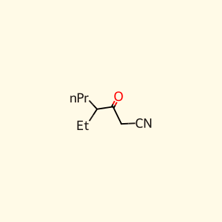 CCCC(CC)C(=O)CC#N